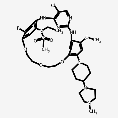 CCN(c1cc2c(F)cc1Nc1nc(ncc1Cl)Nc1cc(c(N3CCC(N4CCN(C)CC4)CC3)cc1OC)OCCCCCO2)S(C)(=O)=O